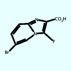 O=C(O)c1nc2ccc(Br)cn2c1F